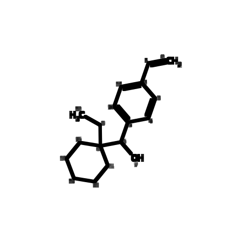 C=Cc1ccc(C(O)C2(CC)CCCCC2)cc1